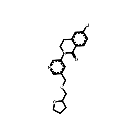 O=C1c2ccc(Cl)cc2CCN1c1cncc(COCC2CCCO2)c1